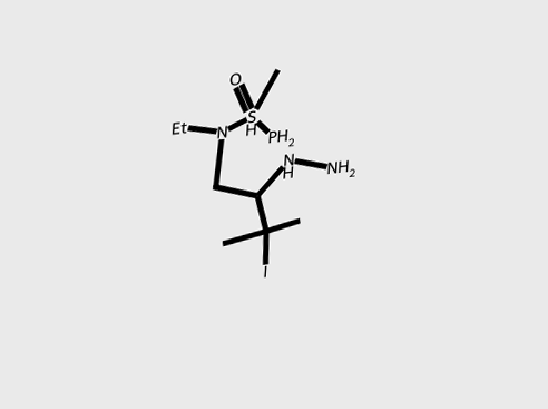 CCN(CC(NN)C(C)(C)I)[SH](C)(=O)P